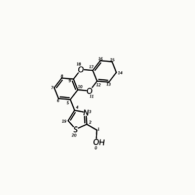 OCc1nc(-c2cccc3c2OC2=CCCC=C2O3)cs1